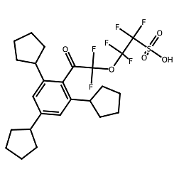 O=C(c1c(C2CCCC2)cc(C2CCCC2)cc1C1CCCC1)C(F)(F)OC(F)(F)C(F)(F)S(=O)(=O)O